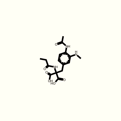 CCC(=O)NC(Cc1ccc(NC(C)=O)c(NC)c1)(C(=O)O)C(=O)O